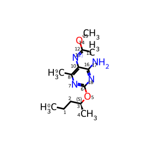 CCC[C@H](C)Oc1nc(C)c(/N=C(\C)OC)c(N)n1